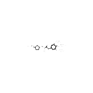 COc1cc(CC(=O)NC[C@H]2CC[C@@H](N)C2)cc(OC)c1OC